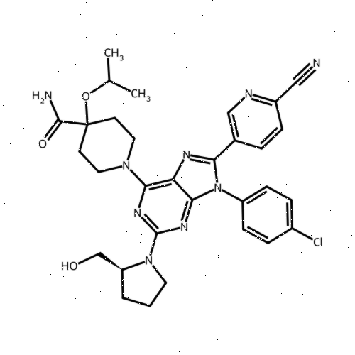 CC(C)OC1(C(N)=O)CCN(c2nc(N3CCC[C@H]3CO)nc3c2nc(-c2ccc(C#N)nc2)n3-c2ccc(Cl)cc2)CC1